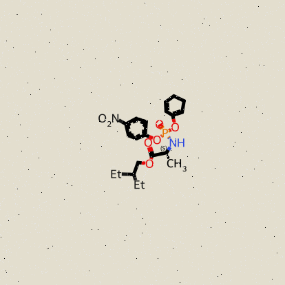 CCC(CC)COC(=O)[C@H](C)NP(=O)(OC1=CCCC=C1)Oc1ccc([N+](=O)[O-])cc1